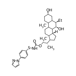 CC[C@@H]1C2C[C@H](O)CC[C@]2(C)C2CC[C@]3(C)C([C@H](C)COC(=O)NSc4ccc(-n5cccn5)cc4)CC[C@H]3C2[C@@H]1O